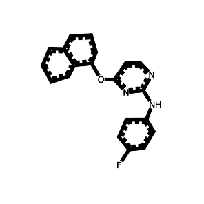 Fc1ccc(Nc2nccc(Oc3cccc4ccccc34)n2)cc1